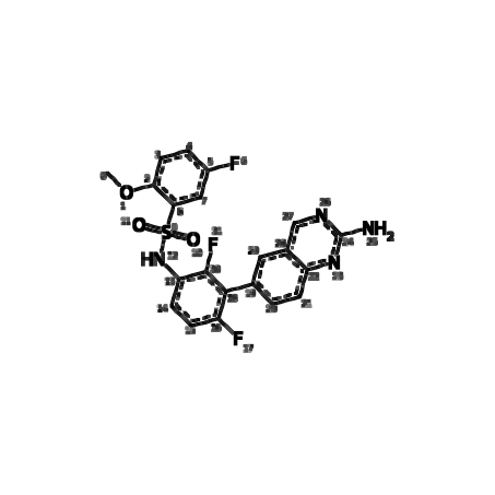 COc1ccc(F)cc1S(=O)(=O)Nc1ccc(F)c(-c2ccc3nc(N)ncc3c2)c1F